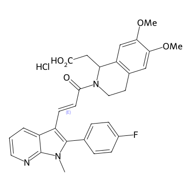 COc1cc2c(cc1OC)C(CC(=O)O)N(C(=O)/C=C/c1c(-c3ccc(F)cc3)n(C)c3ncccc13)CC2.Cl